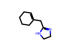 C1=C(CC2=NCCN2)CCCC1